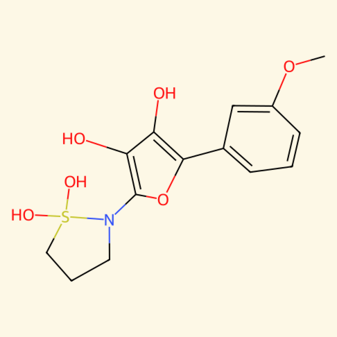 COc1cccc(-c2oc(N3CCCS3(O)O)c(O)c2O)c1